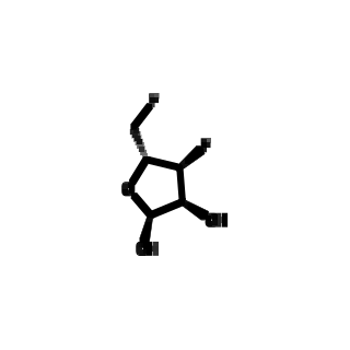 O[C@@H]1[C@H](F)[C@@H](CF)O[C@@H]1O